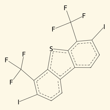 FC(F)(F)c1c(I)ccc2c1sc1c(C(F)(F)F)c(I)ccc12